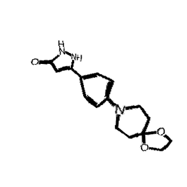 O=c1cc(-c2ccc(N3CCC4(CC3)OCCO4)cc2)[nH][nH]1